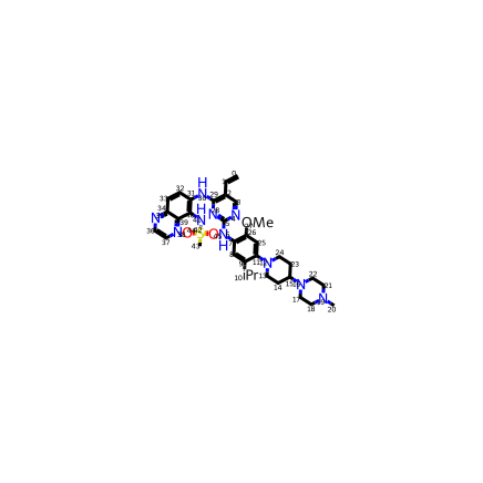 C=Cc1cnc(Nc2cc(C(C)C)c(N3CCC(N4CCN(C)CC4)CC3)cc2OC)nc1Nc1ccc2nccnc2c1NS(C)(=O)=O